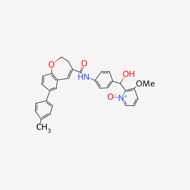 COc1ccc[n+]([O-])c1C(O)c1ccc(NC(=O)C2=Cc3cc(-c4ccc(C)cc4)ccc3OCC2)cc1